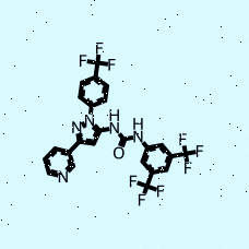 O=C(Nc1cc(C(F)(F)F)cc(C(F)(F)F)c1)Nc1cc(-c2cccnc2)nn1-c1ccc(C(F)(F)F)cc1